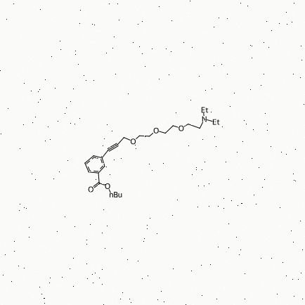 CCCCOC(=O)c1cccc(C#CCOCCOCCOCCN(CC)CC)c1